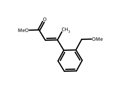 COCc1ccccc1/C(C)=C/C(=O)OC